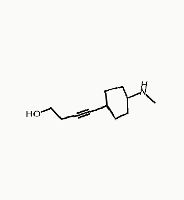 CNC1CCC(C#CCCO)CC1